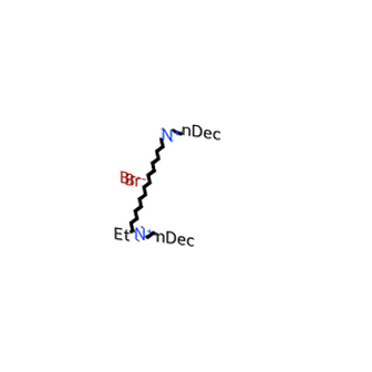 CCCCCCCCCCCC[N+](C)(C)CCCCCCCCCCCCCCCC(CC)[N+](C)(C)CCCCCCCCCCCC.[Br-].[Br-]